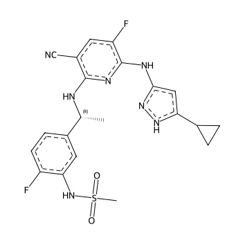 C[C@@H](Nc1nc(Nc2cc(C3CC3)[nH]n2)c(F)cc1C#N)c1ccc(F)c(NS(C)(=O)=O)c1